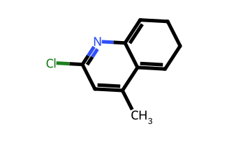 Cc1cc(Cl)nc2c1=CCCC=2